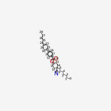 CCCCCCCC1(C#N)CCC(OC(=O)c2ccc([C@H]3CC[C@H](CCCCC)CC3)cc2)CC1